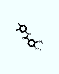 Cc1ccc(NC(=O)c2ccc(N)c(N)c2)cc1C